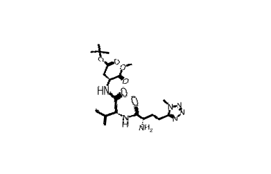 COC(=O)[C@H](CC(=O)OC(C)(C)C)NC(=O)[C@@H](NC(=O)[C@@H](N)CCc1nnnn1C)C(C)C